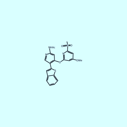 COc1cc(Oc2cc(NC(C)=O)ncc2-c2cc3ccccc3s2)nc(S(C)(=O)=O)c1